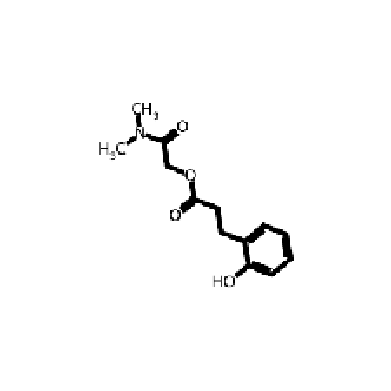 CN(C)C(=O)COC(=O)CCc1ccccc1O